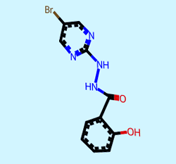 O=C(NNc1ncc(Br)cn1)c1ccccc1O